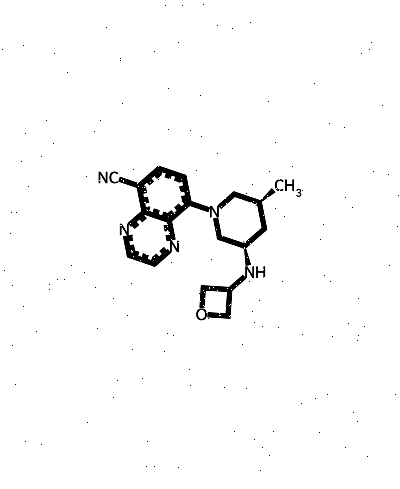 C[C@H]1C[C@@H](NC2COC2)CN(c2ccc(C#N)c3nccnc23)C1